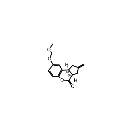 C=C1C[C@@H]2c3cc(OCOC)ccc3OC(=O)[C@@H]2C1